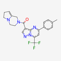 Cc1ccc(-c2cc(C(F)(F)F)n3ncc(C(=O)N4CCN5CCC=C5C4)c3n2)cc1